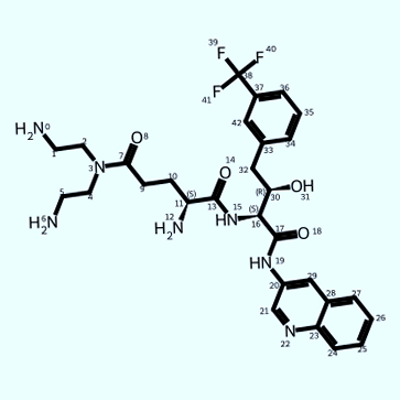 NCCN(CCN)C(=O)CC[C@H](N)C(=O)N[C@H](C(=O)Nc1cnc2ccccc2c1)[C@H](O)Cc1cccc(C(F)(F)F)c1